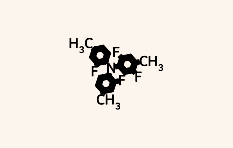 Cc1ccc(N(c2ccc(C)cc2F)c2cc(F)c(C)cc2F)c(F)c1